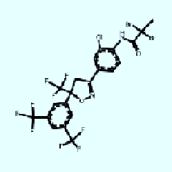 CC(Br)(Br)C(=O)Nc1ccc(C2=NOC(c3cc(C(F)(F)F)cc(C(F)(F)F)c3)(C(F)(F)F)C2)cc1Cl